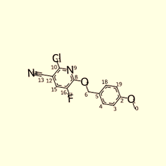 COc1ccc(COc2nc(Cl)c(C#N)cc2F)cc1